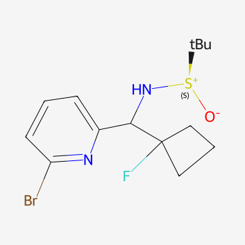 CC(C)(C)[S@@+]([O-])NC(c1cccc(Br)n1)C1(F)CCC1